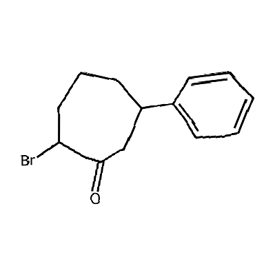 O=C1CC(c2ccccc2)CCCC1Br